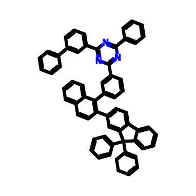 C1=CCCC(C2(c3ccccc3)c3ccccc3-c3ccc(-c4ccc5ccccc5c4-c4cccc(-c5nc(-c6ccccc6)nc(-c6cccc(-c7ccccc7)c6)n5)c4)cc32)=C1